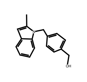 Cc1cc2ccccc2n1Cc1ccc(CO)cc1